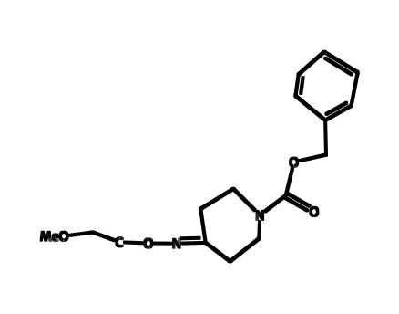 COCCON=C1CCN(C(=O)OCc2ccccc2)CC1